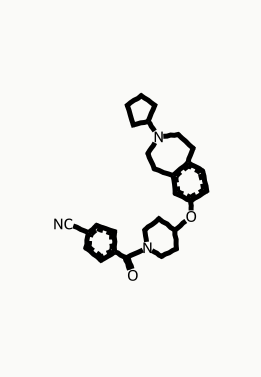 N#Cc1ccc(C(=O)N2CCC(Oc3ccc4c(c3)CCN(C3CCCC3)CC4)CC2)cc1